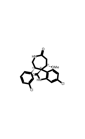 CO[C@H]1CC(=O)NC[C@@H](c2cccc(Cl)c2)[C@]12C(=O)Nc1cc(Cl)ccc12